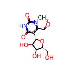 Cn1c(C=O)c([C@@H]2O[C@H](CO)[C@@H](O)[C@H]2O)c(=O)[nH]c1=O